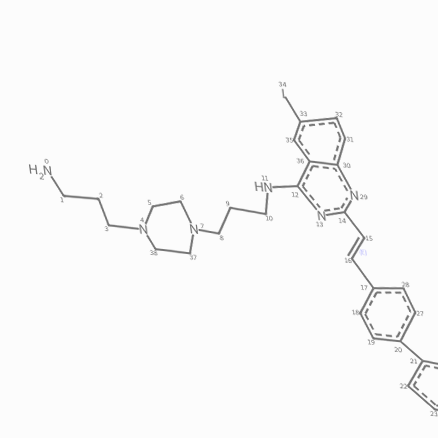 NCCCN1CCN(CCCNc2nc(/C=C/c3ccc(-c4ccccc4)cc3)nc3ccc(I)cc23)CC1